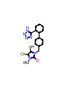 CCCc1c(Cl)n(C(C)(C)C)c(=O)n1Cc1ccc(-c2ccccc2-c2nnn[nH]2)cc1